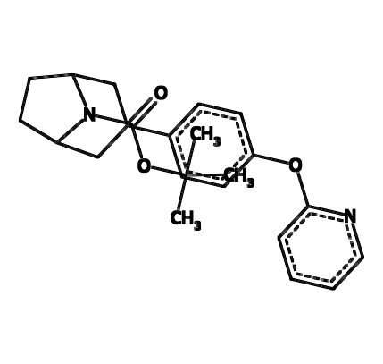 CC(C)(C)OC(=O)N1C2CCC1CC(c1ccc(Oc3ccccn3)cc1)C2